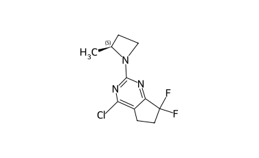 C[C@H]1CCN1c1nc(Cl)c2c(n1)C(F)(F)CC2